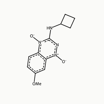 COc1ccc2c(c1)[n+]([O-])nc(NC1CCC1)[n+]2[O-]